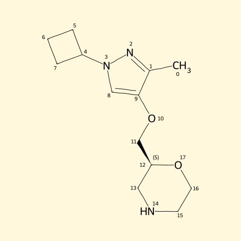 Cc1nn(C2CCC2)cc1OC[C@@H]1CNCCO1